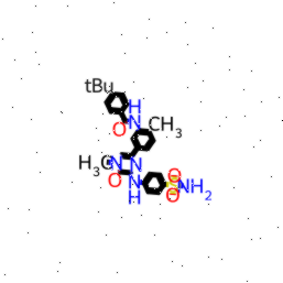 Cc1ccc(-c2cn(C)c(=O)c(Nc3ccc(S(N)(=O)=O)cc3)n2)cc1NC(=O)c1ccc(C(C)(C)C)cc1